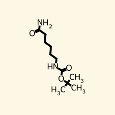 CC(C)(C)OC(=O)NCCCCCC(N)=O